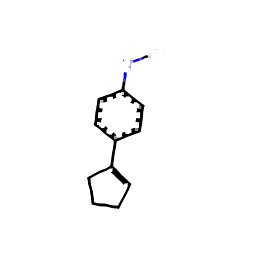 CC(C)Nc1ccc(C2=CCCC2)cc1